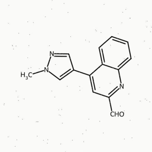 Cn1cc(-c2cc(C=O)nc3ccccc23)cn1